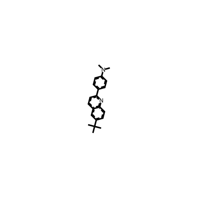 CN(C)c1ccc(-c2ccc3cc(C(C)(C)C)ccc3n2)cc1